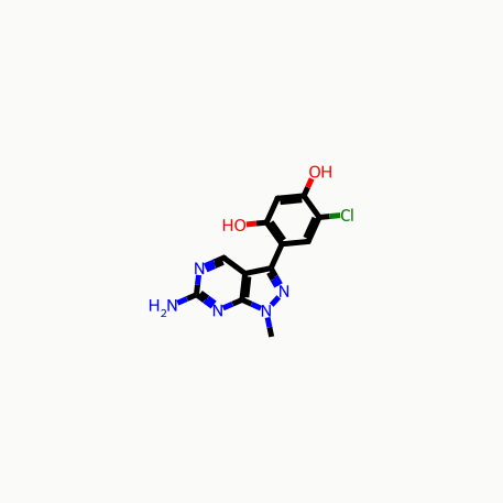 Cn1nc(-c2cc(Cl)c(O)cc2O)c2cnc(N)nc21